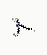 CCCCCCCCCC1N(CCCC)C=CN1CCCCCC